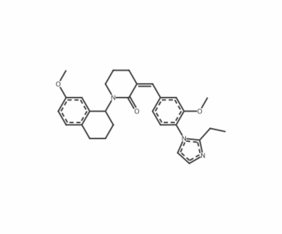 CCc1nccn1-c1ccc(C=C2CCCN(C3CCCc4ccc(OC)cc43)C2=O)cc1OC